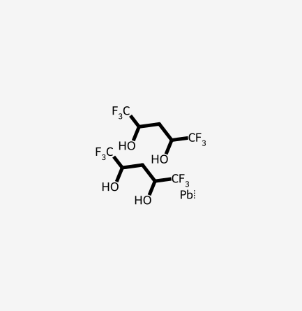 OC(CC(O)C(F)(F)F)C(F)(F)F.OC(CC(O)C(F)(F)F)C(F)(F)F.[Pb]